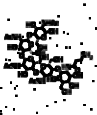 CC(=O)N[C@H]1[C@H](OC2[C@@H](CO)O[C@@H](OC3[C@@H](CO)O[C@@H](OC4[C@@H](CO)OC(O)[C@H](NC(C)=O)[C@H]4O)[C@H](NC(C)=O)[C@H]3O)[C@H](NC(C)=O)[C@H]2O)O[C@H](CO)C(O[C@@H]2O[C@H](CO)[C@@H](O)[C@H](O)[C@H]2NC(=O)CCN)[C@@H]1O